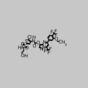 CCOc1cc(-c2cc(C(F)(F)F)n3ncc(OC(=O)Nc4cc(S(=O)(=O)NCCO)sc4Cl)c3n2)ccc1C(F)(F)F